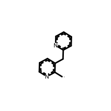 [CH2]c1ncccc1Cc1ccccn1